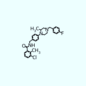 Cc1c(Cl)cccc1C(=O)NCc1ccc(N2CCN(Cc3ccc(F)cc3)CC2C)cc1